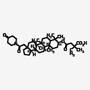 CC(C)(CC(=O)O[C@H]1CC[C@@]2(C)C(CC[C@]3(C)C2CC[C@@H]2[C@H]4CCC[C@]4(CC(=O)N4CCC(=O)CC4)CC[C@]23C)C1(C)C)C(=O)O